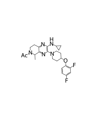 CC(=O)N1CCc2nc(NC3CC3)c(N3CCC(Oc4ccc(F)cc4F)CC3)nc2C1C